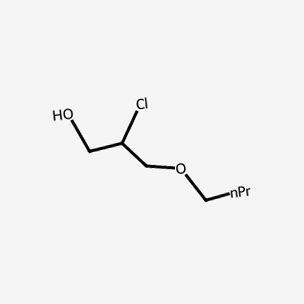 CCCCOCC(Cl)CO